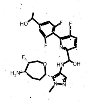 CC(O)c1cc(F)c(-c2nc(C(O)Nc3cnn(C)c3[C@@H]3CC[C@@H](N)[C@H](F)CO3)ccc2F)c(F)c1